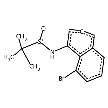 CC(C)(C)[S+]([O-])Nc1cccc2cccc(Br)c12